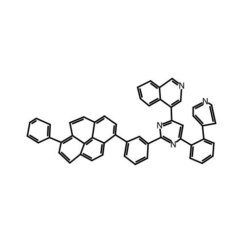 c1ccc(-c2ccc3ccc4c(-c5cccc(-c6nc(-c7ccccc7-c7ccncc7)cc(-c7cncc8ccccc78)n6)c5)ccc5ccc2c3c54)cc1